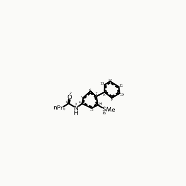 CCCC(=O)Nc1ccc(-c2ccccc2)c(SC)c1